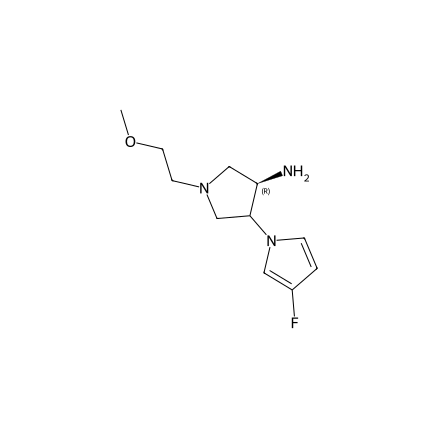 COCCN1CC(n2ccc(F)c2)[C@H](N)C1